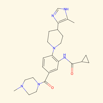 Cc1[nH]cnc1C1CCN(c2ccc(C(=O)N3CCN(C)CC3)cc2NC(=O)C2CC2)CC1